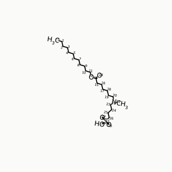 CCCCCCCCCCCCOC(=O)CCCCCCN(C)CCCCS(=O)(=O)O